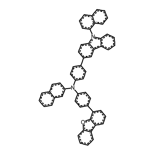 c1ccc2cc(N(c3ccc(-c4ccc5c(c4)c4ccccc4n5-c4cccc5ccccc45)cc3)c3ccc(-c4cccc5c4oc4ccccc45)cc3)ccc2c1